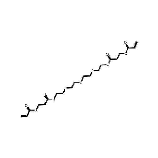 C=CC(=O)OCCC(=O)OCCOCCOCCOCCOC(=O)CCOC(=O)C=C